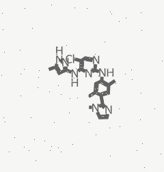 Cc1cc(Nc2nc(Nc3cc(C)c(-c4nccn4C)cc3C)ncc2Cl)n[nH]1